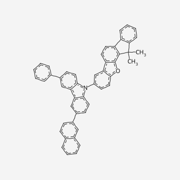 CC1(C)c2ccccc2-c2ccc3c(oc4ccc(-n5c6ccc(-c7ccccc7)cc6c6cc(-c7ccc8ccccc8c7)ccc65)cc43)c21